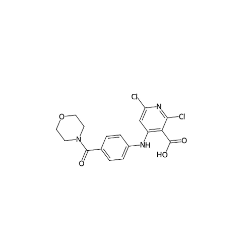 O=C(O)c1c(Nc2ccc(C(=O)N3CCOCC3)cc2)cc(Cl)nc1Cl